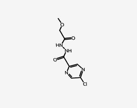 COCC(=O)NNC(=O)c1cnc(Cl)cn1